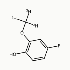 [2H]C([2H])([2H])Oc1cc(F)ccc1O